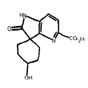 O=C(O)c1ccc2c(n1)C1(CCC(O)CC1)C(=O)N2